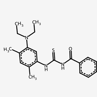 CCN(CC)c1cc(NC(=S)NC(=O)c2ccccc2)c(C)cc1C